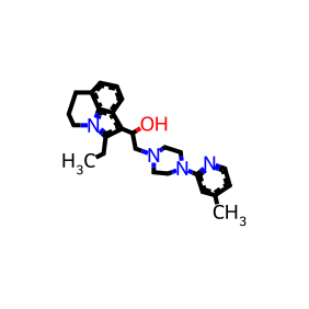 CCc1c(C(O)CN2CCN(c3cc(C)ccn3)CC2)c2cccc3c2n1CCC3